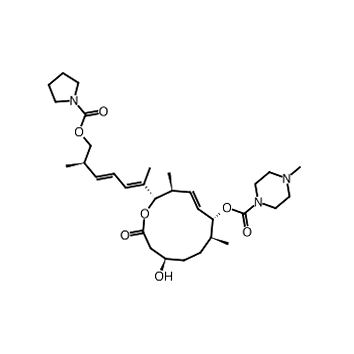 C/C(=C\C=C\[C@@H](C)COC(=O)N1CCCC1)[C@H]1OC(=O)C[C@H](O)CC[C@H](C)[C@@H](OC(=O)N2CCN(C)CC2)/C=C/[C@@H]1C